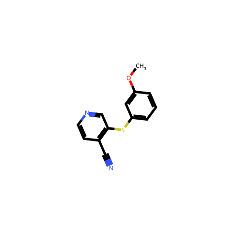 COc1cccc(Sc2cnccc2C#N)c1